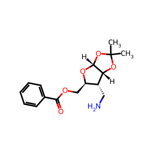 CC1(C)O[C@H]2O[C@H](COC(=O)c3ccccc3)[C@@H](CN)[C@H]2O1